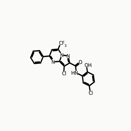 O=C(Nc1cc(Cl)ccc1O)c1nn2c(C(F)(F)F)cc(-c3ccccc3)nc2c1Cl